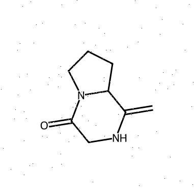 C=C1NCC(=O)N2CCCC12